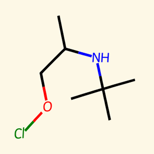 CC(COCl)NC(C)(C)C